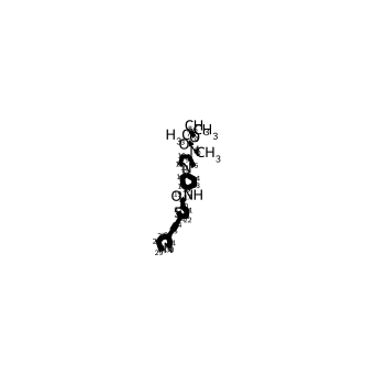 CN(C(=O)OC(C)(C)C)C1CCN(c2ccc(NC(=O)c3ccc(C#Cc4cccnc4)s3)cc2)C1